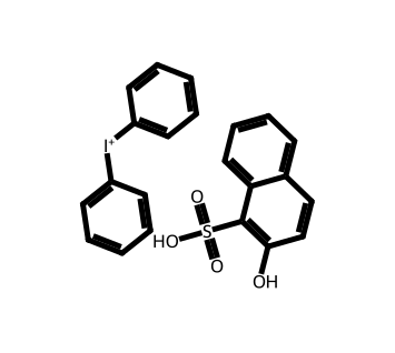 O=S(=O)(O)c1c(O)ccc2ccccc12.c1ccc([I+]c2ccccc2)cc1